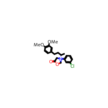 COc1ccc(CCC(C)[N@+]2(c3cccc(Cl)c3)COC(=O)C2)cc1OC